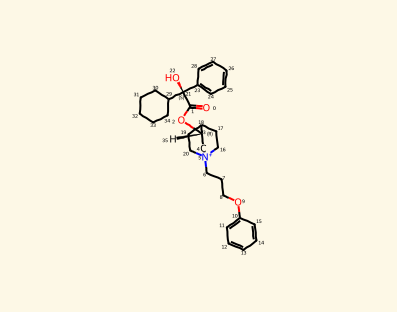 O=C(O[C@H]1C[N+]2(CCCOc3ccccc3)CCC1CC2)[C@@](O)(c1ccccc1)C1CCCCC1